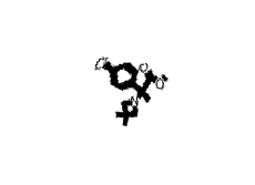 COC(=O)C(C)(c1ccc(Cl)cc1)N1CC(C)(C)C1